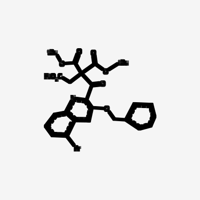 CCOC(=O)CC(C(=O)OC(C)(C)C)(C(=O)OC(C)(C)C)C(=O)c1nc2cccc(Br)c2cc1OCc1ccccc1